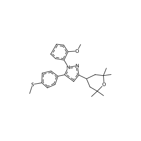 COc1ccccc1-n1nc(C2CC(C)(C)OC(C)(C)C2)cc1-c1ccc(SC)cc1